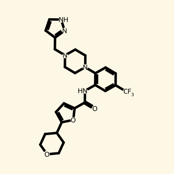 O=C(Nc1cc(C(F)(F)F)ccc1N1CCN(Cc2cc[nH]n2)CC1)c1ccc(C2CCOCC2)o1